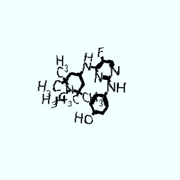 CN1C(C)(C)CC(Nc2nc(Nc3ccc(O)cc3)ncc2F)CC1(C)C